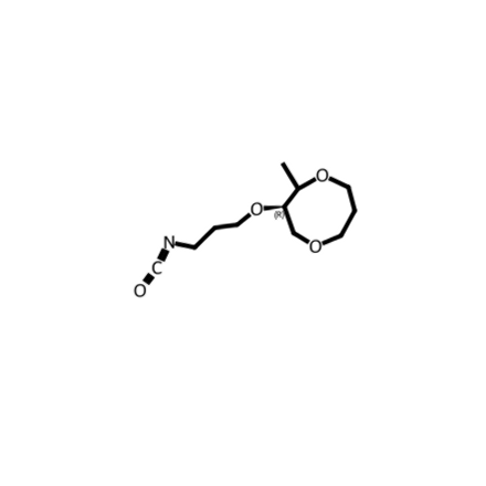 CC1OCCCOC[C@H]1OCCCN=C=O